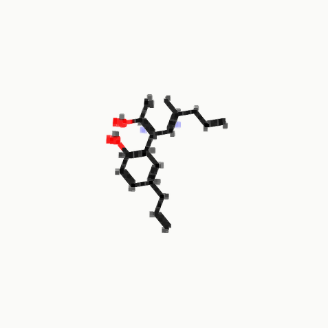 C=CC/C(C)=C/C(=C(/O)CC)c1cc(CC=C)ccc1O